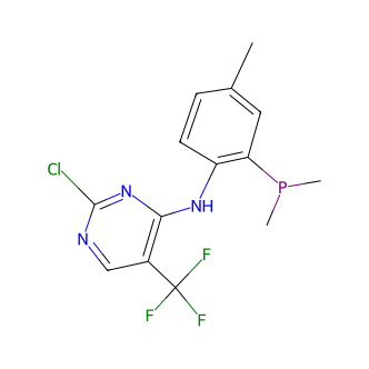 Cc1ccc(Nc2nc(Cl)ncc2C(F)(F)F)c(P(C)C)c1